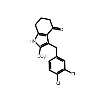 O=C(O)c1[nH]c2c(c1Cc1ccc(Cl)c(Cl)c1)C(=O)CCC2